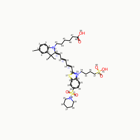 Cc1ccc2c(c1)C(C)(C)\C(=C/C=C/C=C/c1sc3cc(S(=O)(=O)N4CCCCC4)ccc3[n+]1CCCCS(=O)(=O)O)N2CCCCCC(=O)O